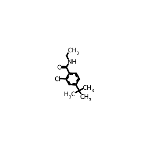 CCNC(=O)c1ccc(C(C)(C)C)cc1Cl